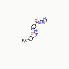 O=C(NCc1nccs1)c1ccnc(N2CCN(Cc3ccc(C(F)(F)F)cc3)C2=O)c1